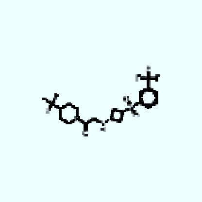 O=C(CN[C@H]1C[C@H](S(=O)(=O)c2cccc(C(F)(F)F)c2)C1)N1CCC(C(F)(F)F)CC1